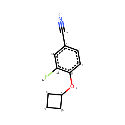 N#Cc1ccc(OC2CCC2)c(F)c1